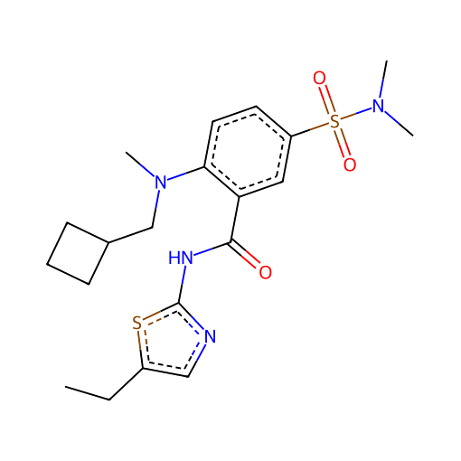 CCc1cnc(NC(=O)c2cc(S(=O)(=O)N(C)C)ccc2N(C)CC2CCC2)s1